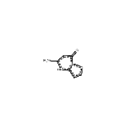 Nc1cc(=O)n2nccc2[nH]1